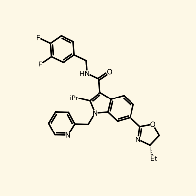 CC[C@H]1COC(c2ccc3c(C(=O)NCc4ccc(F)c(F)c4)c(C(C)C)n(Cc4ccccn4)c3c2)=N1